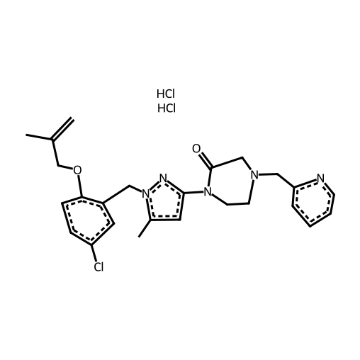 C=C(C)COc1ccc(Cl)cc1Cn1nc(N2CCN(Cc3ccccn3)CC2=O)cc1C.Cl.Cl